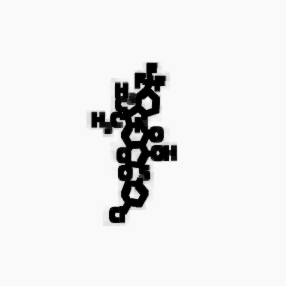 CC1(C)c2cc3oc(=O)c(Sc4ccc(Cl)cc4)c(O)c3c(=O)n2C2C=CC(C(F)(F)F)=CC21